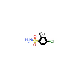 CC(C)(C)c1cc(Cl)ccc1S(N)(=O)=O